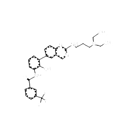 CCN(CC)CCCNc1ncc2cc(-c3cccc(NC(=O)c4cccc(C(F)(F)F)c4)c3C)ccc2n1